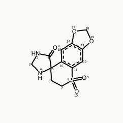 O=C1NCNC12CCS(=O)(=O)c1cc3c(cc12)OCO3